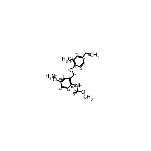 CCc1ccc(OCc2cc(OC)ccc2NC(=S)OC)c(C)c1